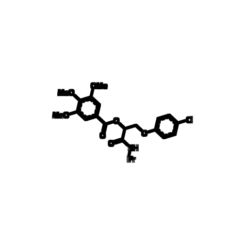 COc1cc(C(=O)OC(COc2ccc(Cl)cc2)C(=O)NC(C)C)cc(OC)c1OC